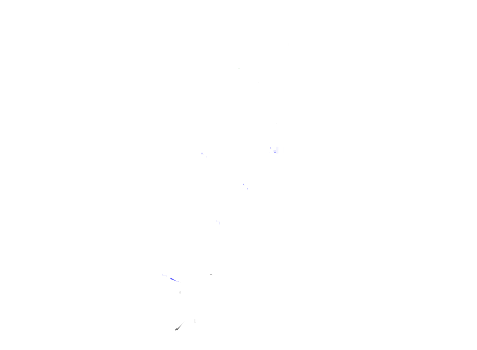 Cc1ccc(Sc2ncc(N3CCC4(CC3)CO[C@@H](C)[C@H]4N)nc2N)c(Cl)c1P(C)(C)=O